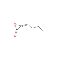 CCCC=C1OC1=O